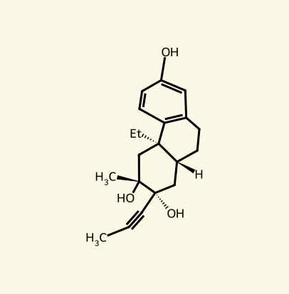 CC#C[C@]1(O)C[C@H]2CCc3cc(O)ccc3[C@]2(CC)C[C@@]1(C)O